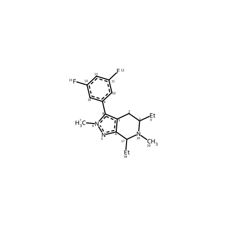 CCC1Cc2c(nn(C)c2-c2cc(F)cc(F)c2)C(CC)N1C